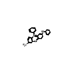 Cc1ccc2c(c1)nc1ccc(Nc3ccccc3)cc1[n+]2-c1ccccc1